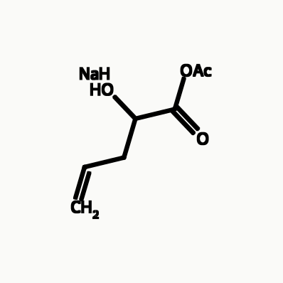 C=CCC(O)C(=O)OC(C)=O.[NaH]